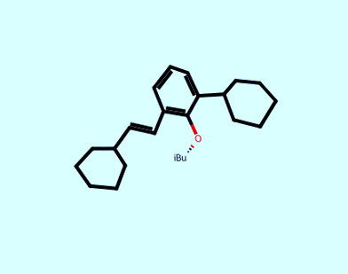 CC[C@@H](C)Oc1c(/C=C/C2CCCCC2)cccc1C1CCCCC1